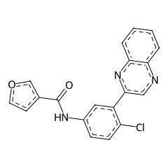 O=C(Nc1ccc(Cl)c(-c2cnc3ccccc3n2)c1)c1ccoc1